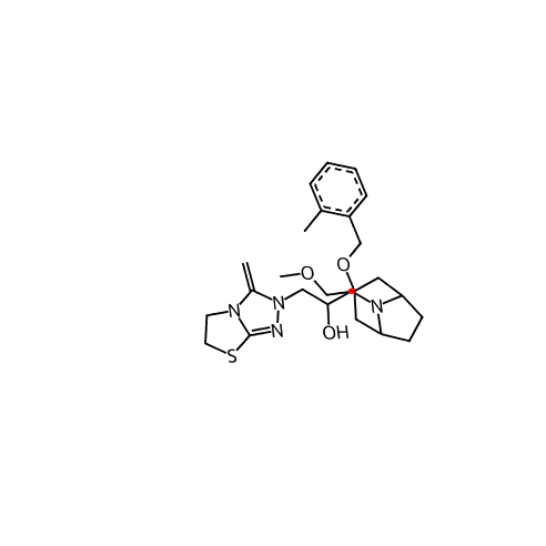 C=C1N(CC(O)CN2C3CCC2CC(COC)(OCc2ccccc2C)C3)N=C2SCCN12